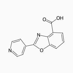 O=C(O)c1cccc2oc(-c3ccncc3)nc12